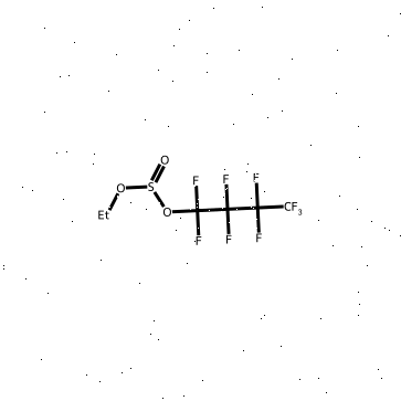 CCOS(=O)OC(F)(F)C(F)(F)C(F)(F)C(F)(F)F